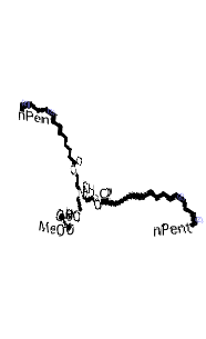 CCCCC/C=C\C/C=C\CCCCCCCC(=O)OCC[N+](C)(CCO)CCOC(=O)CCCCCCC/C=C\C/C=C\CCCCC.COS(=O)(=O)[O-]